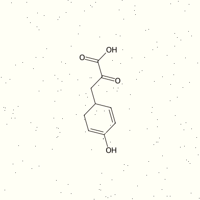 O=C(O)C(=O)CC1C=CC(O)=CC1